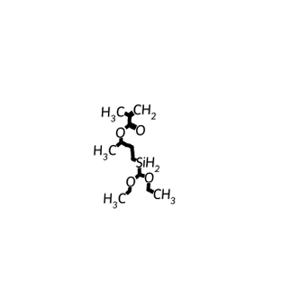 C=C(C)C(=O)OC(C)CC[SiH2]C(OCC)OCC